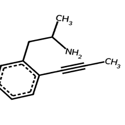 CC#Cc1ccccc1CC(C)N